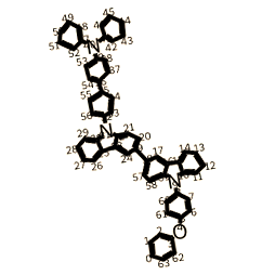 c1ccc(Oc2ccc(-n3c4ccccc4c4cc(-c5ccc6c(c5)c5ccccc5n6-c5ccc(-c6ccc(N(c7ccccc7)c7ccccc7)cc6)cc5)ccc43)cc2)cc1